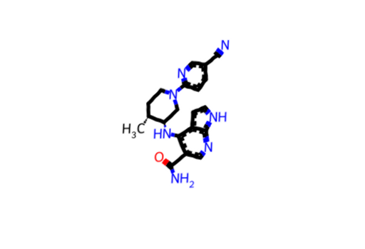 C[C@@H]1CCN(c2ccc(C#N)cn2)C[C@@H]1Nc1c(C(N)=O)cnc2[nH]ccc12